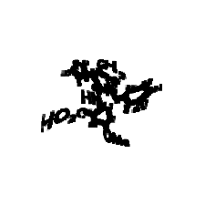 COc1ccc(Nc2c(-c3ccsc3)c(C)nn2Cc2ccccc2)c(C(=O)O)c1